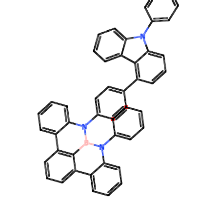 c1ccc(N2B3c4c(cccc4-c4ccccc4N3c3ccc(-c4cccc5c4c4ccccc4n5-c4ccccc4)cc3)-c3ccccc32)cc1